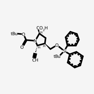 C#C[C@H]1[C@H](CO[Si](c2ccccc2)(c2ccccc2)C(C)(C)C)C[C@H](C(=O)O)N1C(=O)OC(C)(C)C